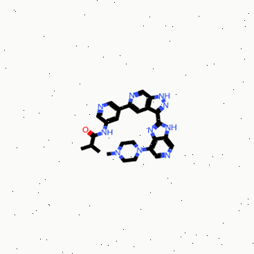 CC(C)C(=O)Nc1cncc(-c2cc3c(-c4nc5c(N6CCN(C)CC6)cncc5[nH]4)n[nH]c3cn2)c1